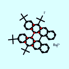 CC(C)(C)c1ccc(P(c2ccc(C(C)(C)C)cc2)c2ccc3ccccc3c2-c2c(P(c3ccc(C(C)(C)C)cc3)c3ccc(C(C)(C)C)cc3)ccc3ccccc23)cc1.[I-].[I-].[Ru+2]